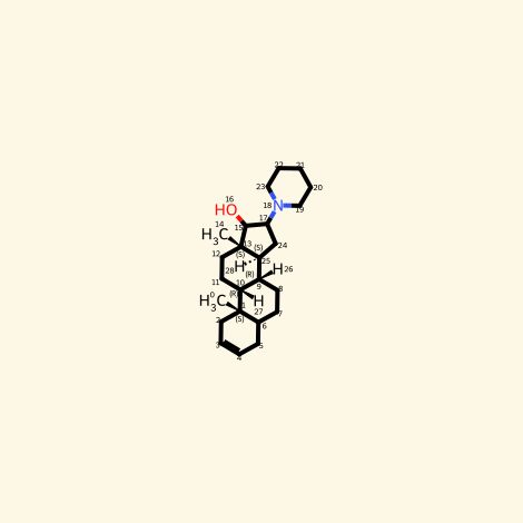 C[C@]12CC=CCC1CC[C@@H]1[C@H]2CC[C@]2(C)C(O)C(N3CCCCC3)C[C@@H]12